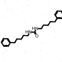 O=C(NCCCCCc1ccccc1)NCCCCCc1ccccc1